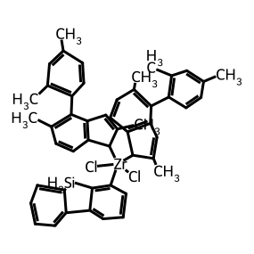 CC1=Cc2c(ccc(C)c2-c2ccc(C)cc2C)[CH]1[Zr]([Cl])([Cl])([c]1cccc2c1[SiH2]c1ccccc1-2)[CH]1C(C)=Cc2c1ccc(C)c2-c1ccc(C)cc1C